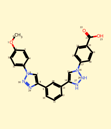 COc1ccc(-n2cc(-c3cccc(C4=CN(c5ccc(C(=O)O)cc5)NN4)c3)nn2)cc1